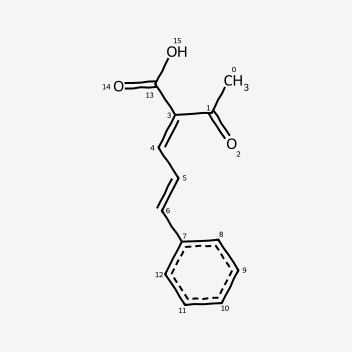 CC(=O)/C(=C\C=C\c1ccccc1)C(=O)O